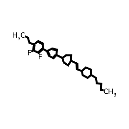 CCCCCC1CCC(/C=C/C2CCC(c3ccc(-c4ccc(CCC)c(F)c4F)cc3)CC2)CC1